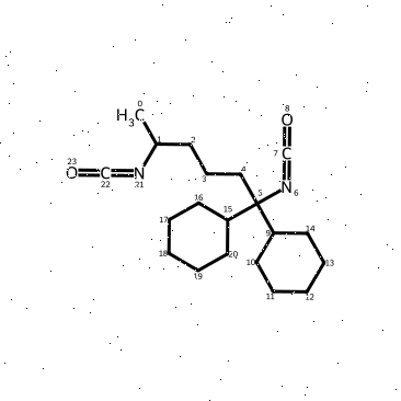 CC(CCCC(N=C=O)(C1CCCCC1)C1CCCCC1)N=C=O